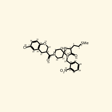 CSCCC1NC2(CCN(C(=O)C3COc4ccc(Cl)cc4C3)CC2)N(Cc2ccccc2[N+](=O)[O-])C1=O